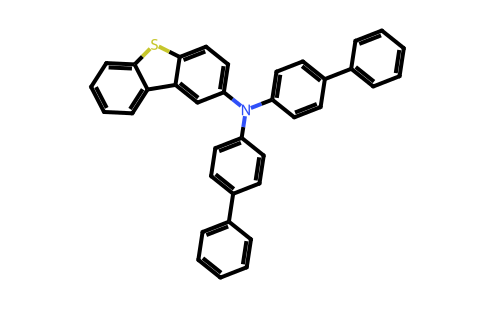 c1ccc(-c2ccc(N(c3ccc(-c4ccccc4)cc3)c3ccc4sc5ccccc5c4c3)cc2)cc1